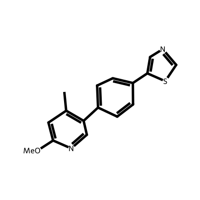 COc1cc(C)c(-c2ccc(-c3cncs3)cc2)cn1